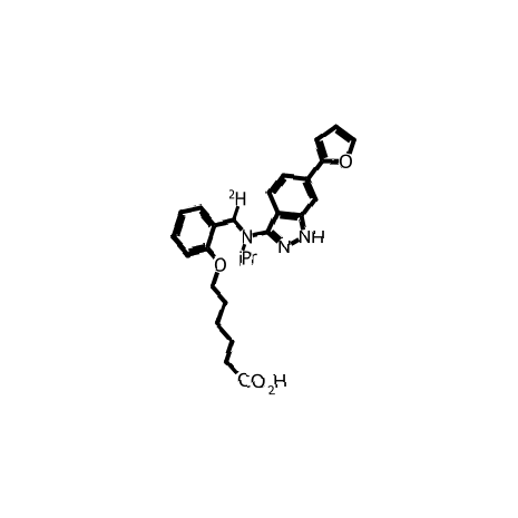 [2H]C(c1ccccc1OCCCCCC(=O)O)N(c1n[nH]c2cc(-c3ccco3)ccc12)C(C)C